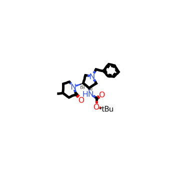 CC1CCN([C@H]2CN(Cc3ccccc3)C[C@@H]2NC(=O)OC(C)(C)C)C(=O)C1